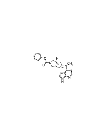 CN(c1ncnc2[nH]ccc12)[C@@H]1CC2CN(C(=O)Oc3ccccc3)C[C@H]2C1